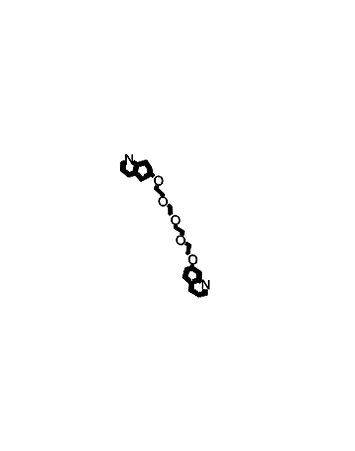 c1cnc2ccc(OCCOCCOCCOCCOc3ccc4cccnc4c3)cc2c1